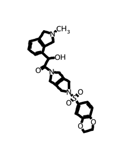 CN1Cc2cccc(C(O)C(=O)N3CC4=C(C3)CN(S(=O)(=O)c3ccc5c(c3)OCCO5)C4)c2C1